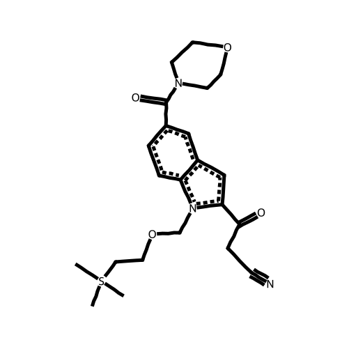 CS(C)(C)CCOCn1c(C(=O)CC#N)cc2cc(C(=O)N3CCOCC3)ccc21